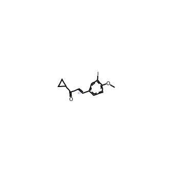 COc1ccc(/C=C/C(=O)C2CC2)cc1I